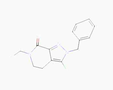 O=C1c2nn(Cc3ccccc3)c(Cl)c2CCN1CC(F)(F)F